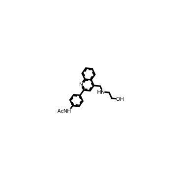 CC(=O)Nc1ccc(-c2cc(CNCCO)c3ccccc3n2)cc1